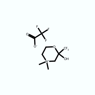 C[N+]1(C)CCOC(O)(C(F)(F)F)C1.O=C([O-])C(F)(F)F